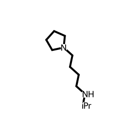 CC(C)NCCCCN1CCCC1